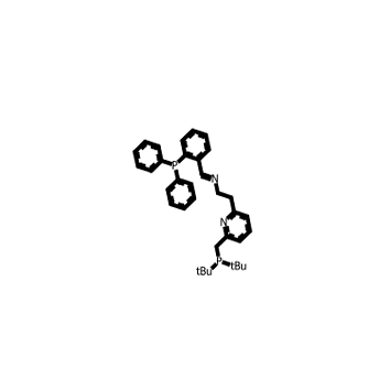 CC(C)(C)P(Cc1cccc(CC/N=C/c2ccccc2P(c2ccccc2)c2ccccc2)n1)C(C)(C)C